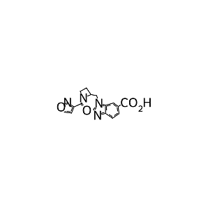 O=C(O)c1ccc2ncn(CC3CCN3C(=O)c3ccon3)c2c1